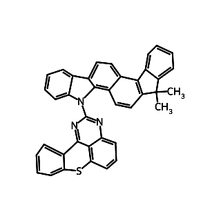 CC1(C)c2ccccc2-c2c1ccc1c2ccc2c3ccccc3n(-c3nc4c5c(cccc5n3)Sc3ccccc3-4)c12